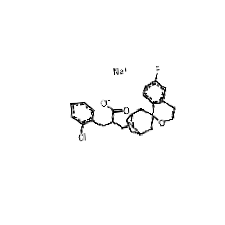 O=C([O-])C(Cc1ccccc1Cl)CN1C2CCC1CC1(C2)OCCc2cc(F)ccc21.[Na+]